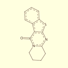 O=c1c2c(nc3n1CCCC3)sc1ccccc12